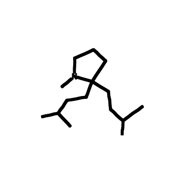 CC(C)CCC1(CCC(C)C)CCCN1C